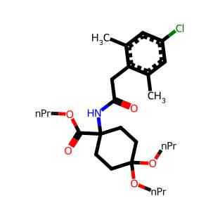 CCCOC(=O)C1(NC(=O)Cc2c(C)cc(Cl)cc2C)CCC(OCCC)(OCCC)CC1